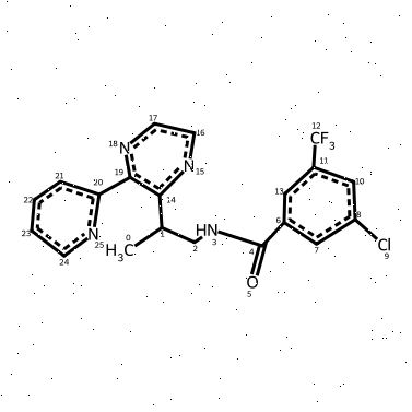 CC(CNC(=O)c1cc(Cl)cc(C(F)(F)F)c1)c1nccnc1-c1ccccn1